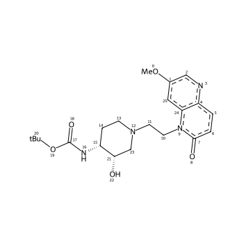 COc1cnc2ccc(=O)n(CCN3CC[C@@H](NC(=O)OC(C)(C)C)[C@@H](O)C3)c2c1